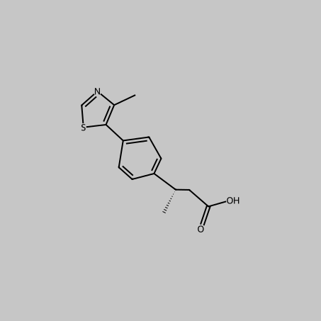 Cc1ncsc1-c1ccc([C@@H](C)CC(=O)O)cc1